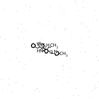 C=CCc1c(OCc2ccc(C)cn2)ccc2[nH]c(C(Cc3ccccc3)C(=O)O)c(SC(C)(C)C)c12